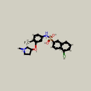 CN1CCC(Oc2cc(NS(=O)(=O)c3ccc4c(Cl)cccc4c3)ccc2C(F)(F)F)C1